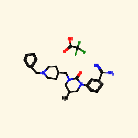 CC1CN(CC2CCN(Cc3ccccc3)CC2)C(=O)N(c2cccc(C(=N)N)c2)C1.O=C(O)C(F)(F)F